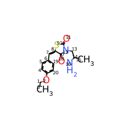 CCOc1ccc(C=C2SC(=O)N(CC(C)N)C2=O)cc1